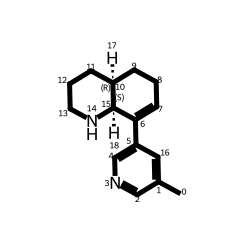 Cc1cncc(C2=CCC[C@@H]3CCCN[C@H]23)c1